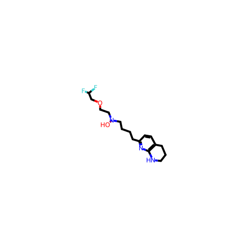 ON(CCCCc1ccc2c(n1)NCCC2)CCOCC(F)F